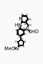 CO/N=C1/CCC(c2ccc3c(c2)N(C=O)Cc2cccnc2N3)C1